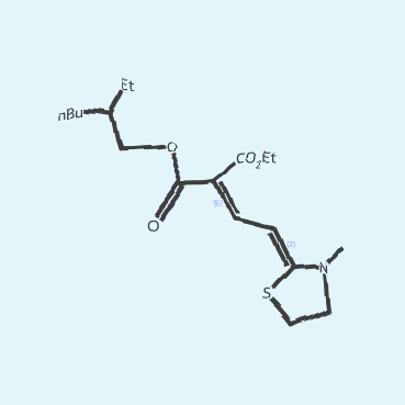 CCCCC(CC)COC(=O)/C(=C/C=C1\SCCN1C)C(=O)OCC